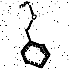 [CH2]CCOCc1ccccc1